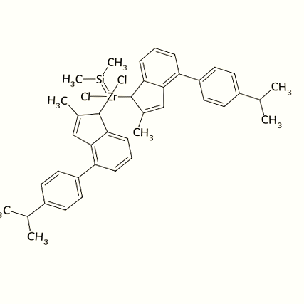 CC1=Cc2c(-c3ccc(C(C)C)cc3)cccc2[CH]1[Zr]([Cl])([Cl])([CH]1C(C)=Cc2c(-c3ccc(C(C)C)cc3)cccc21)=[Si](C)C